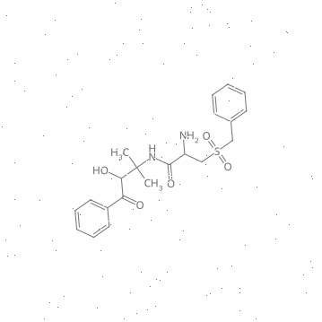 CC(C)(NC(=O)C(N)CS(=O)(=O)Cc1ccccc1)C(O)C(=O)c1ccccc1